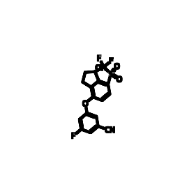 N#Cc1cc(F)cc(Oc2ccc3c4c2CC[C@@]4(O)C(F)(F)S3(=O)=O)c1